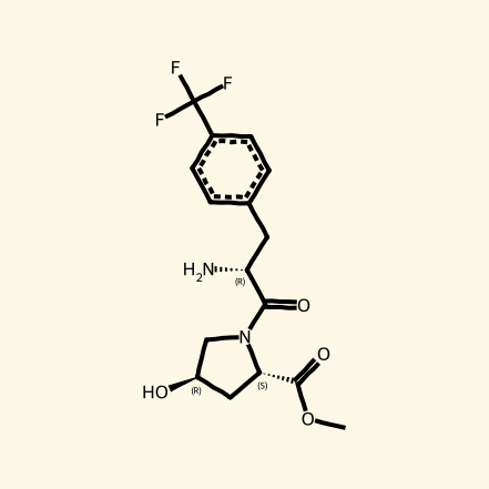 COC(=O)[C@@H]1C[C@@H](O)CN1C(=O)[C@H](N)Cc1ccc(C(F)(F)F)cc1